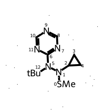 CSN(C1CC1)N(c1ncncn1)C(C)(C)C